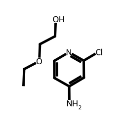 CCOCCO.Nc1ccnc(Cl)c1